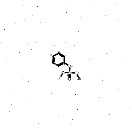 O=P(OF)(OBr)Oc1ccccc1